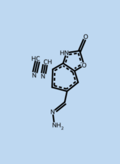 C#N.C#N.NN=Cc1ccc2[nH]c(=O)oc2c1